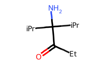 CCC(=O)C(N)(C(C)C)C(C)C